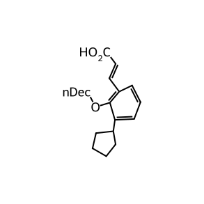 CCCCCCCCCCOc1c(C=CC(=O)O)cccc1C1CCCC1